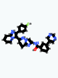 O=C(Nc1cn2nc(-c3c(-c4ccc(F)cc4)nc4ccccn34)ccc2n1)c1cccc(-c2cncnc2)c1